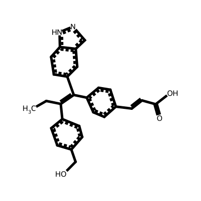 CC/C(=C(/c1ccc(/C=C/C(=O)O)cc1)c1ccc2[nH]ncc2c1)c1ccc(CO)cc1